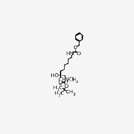 CN(CC(C)(O)CCCCCCNC(=O)OCc1ccccc1)C(=O)OC(C)(C)C